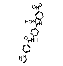 O=C(Nc1ccc(-c2nc3ccc([N+](=O)[O-])cc3n2O)cc1)c1ccc(-n2cccn2)cc1